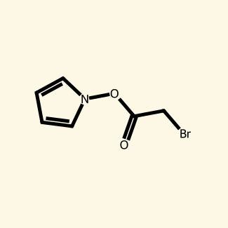 O=C(CBr)On1cccc1